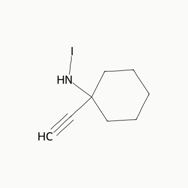 C#CC1(NI)CCCCC1